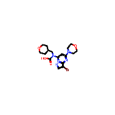 O=C(O)N(CC1CCOCC1)c1cc(N2CCOCC2)nc2c(Br)cnn12